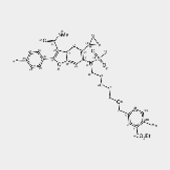 CCOC(=O)c1cc(COCCOCCN(C2=C(C3CC3)CC3C(=C2)OC(c2ccc(F)cc2)=C3C(=O)NC)S(C)(=O)=O)ccc1F